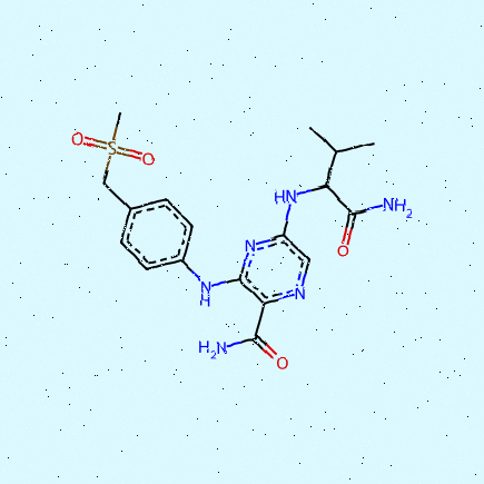 CC(C)C(Nc1cnc(C(N)=O)c(Nc2ccc(CS(C)(=O)=O)cc2)n1)C(N)=O